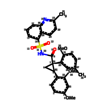 COc1ccc([C@H]2C[C@@]2(C(=O)NS(=O)(=O)c2cccc3nc(C)ccc23)c2cc(C)ccc2OC)c(OC)c1